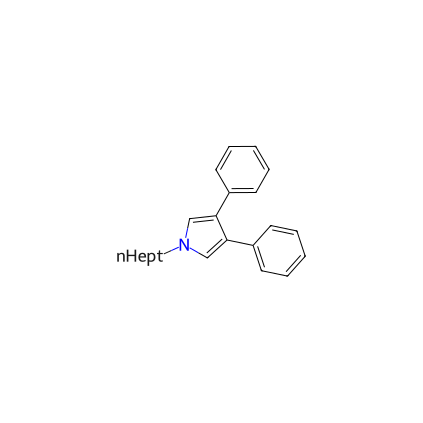 CCCCCCCn1cc(-c2ccccc2)c(-c2ccccc2)c1